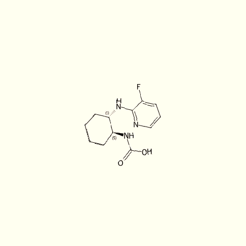 O=C(O)N[C@H]1CCCC[C@@H]1Nc1ncccc1F